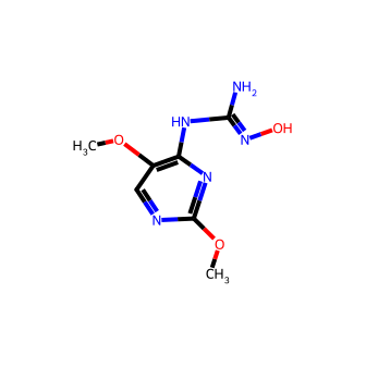 COc1ncc(OC)c(NC(N)=NO)n1